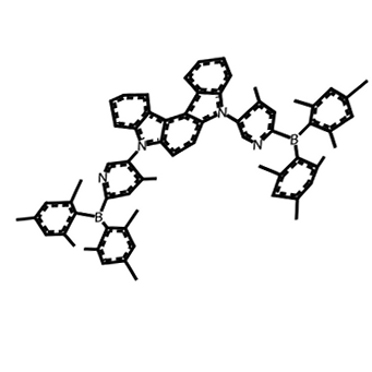 Cc1cc(C)c(B(c2cc(C)c(-n3c4ccccc4c4c5c6ccccc6n(-c6cnc(B(c7c(C)cc(C)cc7C)c7c(C)cc(C)cc7C)cc6C)c5ccc43)cn2)c2c(C)cc(C)cc2C)c(C)c1